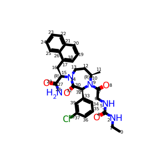 CCNC(=O)NCC(=O)N1[C@H](C)CCN([C@H](Cc2cccc3ccccc23)C(N)=O)C(=O)[C@@H]1c1cccc(Cl)c1